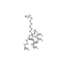 CCCCCCCC(C)(CCCCCC)[C@@H](NC(=O)OC)C(C)C